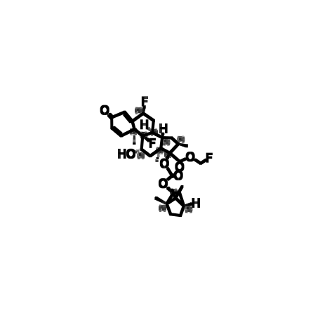 C[C@@H]1C[C@H]2[C@@H]3C[C@H](F)C4=CC(=O)C=C[C@]4(C)[C@@]3(F)[C@@H](O)C[C@]2(C)[C@@]1(OC(=O)O[C@H]1C[C@@H]2CC[C@@]1(C)C2(C)C)C(=O)OCF